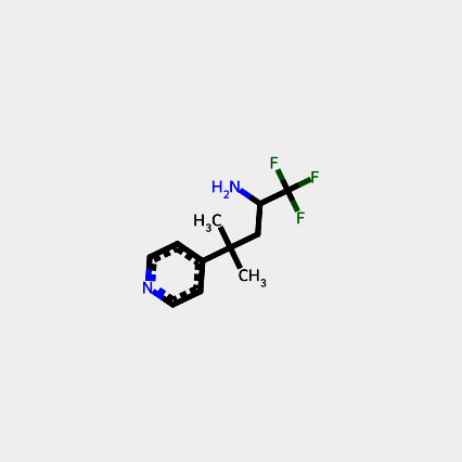 CC(C)(CC(N)C(F)(F)F)c1ccncc1